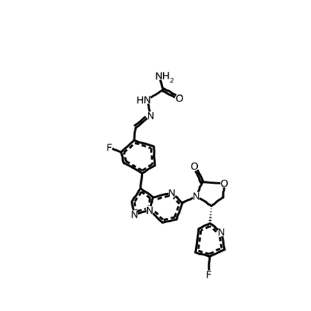 NC(=O)NN=Cc1ccc(-c2cnn3ccc(N4C(=O)OC[C@@H]4c4ccc(F)cn4)nc23)cc1F